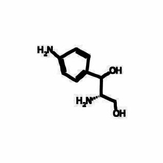 Nc1ccc(C(O)[C@@H](N)CO)cc1